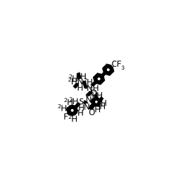 [2H]c1c([2H])c(C([2H])([2H])Sc2nc(=O)c3c(n2CC(=O)N(CCN(C([2H])([2H])C)C([2H])([2H])C)C([2H])([2H])c2ccc(-c4ccc(C(F)(F)F)cc4)cc2)C([2H])([2H])C([2H])(C)C3([2H])[2H])c([2H])c([2H])c1F